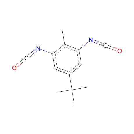 Cc1c(N=C=O)cc(C(C)(C)C)cc1N=C=O